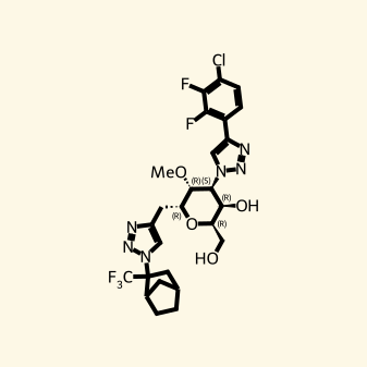 CO[C@@H]1[C@@H](n2cc(-c3ccc(Cl)c(F)c3F)nn2)[C@@H](O)[C@@H](CO)O[C@@H]1Cc1cn(C2(C(F)(F)F)CC3CCC2C3)nn1